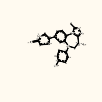 Cc1nnc2n1-c1ccc(-c3c[nH]c(=O)cn3)cc1N(c1ccc(Cl)cc1)C[C@H]2I